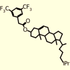 CC(C)CCCC(C)C1CCC2C3CC=C4CC(OC(=O)Cc5cc(C(F)(F)F)cc(C(F)(F)F)c5)CCC4(C)C3CCC12C